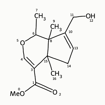 COC(=O)C1=COC(C)C2(C)C(CO)=CCC12C